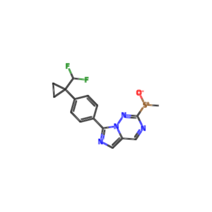 C[S+]([O-])c1ncc2cnc(-c3ccc(C4(C(F)F)CC4)cc3)n2n1